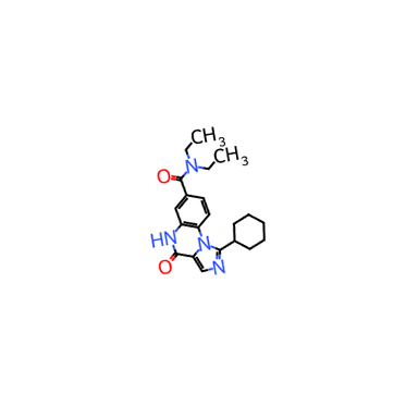 CCN(CC)C(=O)c1ccc2c(c1)[nH]c(=O)c1cnc(C3CCCCC3)n12